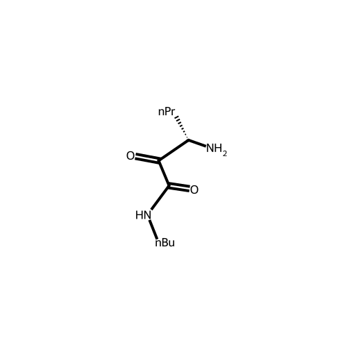 CCCCNC(=O)C(=O)[C@@H](N)CCC